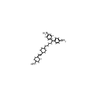 CCCC1CCC(/C=C/C2CCC(CCCCC(c3ccc(N)cc3)c3ccc(N)cc3)CC2)CC1